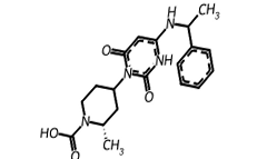 CC(Nc1cc(=O)n(C2CCN(C(=O)O)[C@@H](C)C2)c(=O)[nH]1)c1ccccc1